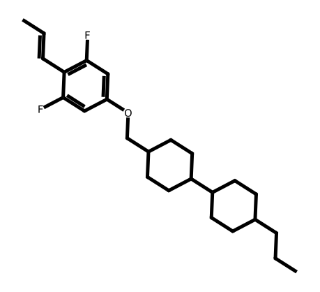 C/C=C/c1c(F)cc(OCC2CCC(C3CCC(CCC)CC3)CC2)cc1F